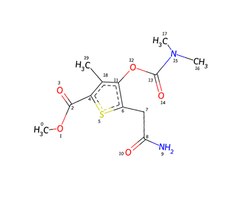 COC(=O)c1sc(CC(N)=O)c(OC(=O)N(C)C)c1C